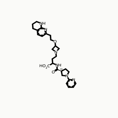 O=C(O)C(CCN1CC(OCCc2ccc3c(n2)NCCC3)C1)NC(=O)[C@H]1CCN(c2ccccn2)C1